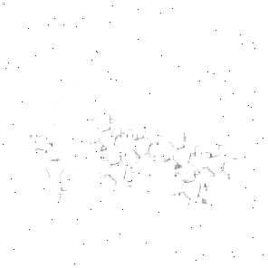 CCCCCCCCCCCc1ncc(-c2ccc(O[Si](C)(C)C)cc2)[nH]1.Fc1c(F)c(F)c(B(c2c(F)c(F)c(F)c(F)c2F)c2c(F)c(F)c(F)c(F)c2F)c(F)c1F.Fc1c(F)c(F)c(B(c2c(F)c(F)c(F)c(F)c2F)c2c(F)c(F)c(F)c(F)c2F)c(F)c1F